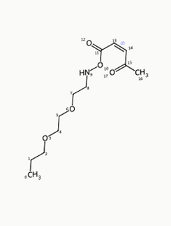 CCCOCCOCCNOC(=O)/C=C\C(C)=O